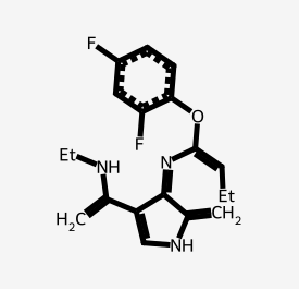 C=C(NCC)C1=CNC(=C)/C1=N\C(=C/CC)Oc1ccc(F)cc1F